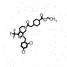 CCOC(=O)C1CCC(CC(=O)N2CCc3c(C(F)(F)F)nn(Cc4ccc(Cl)cc4Cl)c3C2)CC1